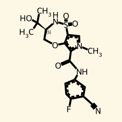 Cn1cc2c(c1C(=O)Nc1ccc(F)c(C#N)c1)OC[C@@H](C(C)(C)O)NS2(=O)=O